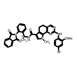 COc1cc(Br)ccc1Nc1ncc2c(n1)-c1c(c(C(=O)N[C@@H](C)c3ccccc3N3C(=O)c4ccccc4C3=O)cn1C)CC2